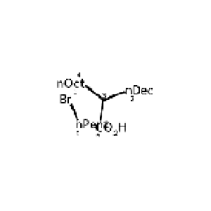 CCCCCBr.CCCCCCCCCCC(CCCCCCCC)C(=O)O